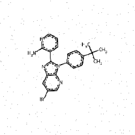 CC(C)(C)c1ccc(-n2c(-c3cccnc3N)nc3cc(Br)cnc32)cc1